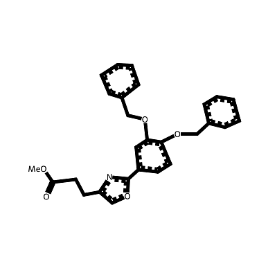 COC(=O)CCc1coc(-c2ccc(OCc3ccccc3)c(OCc3ccccc3)c2)n1